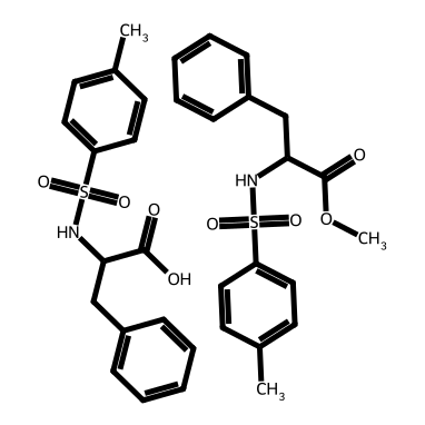 COC(=O)C(Cc1ccccc1)NS(=O)(=O)c1ccc(C)cc1.Cc1ccc(S(=O)(=O)NC(Cc2ccccc2)C(=O)O)cc1